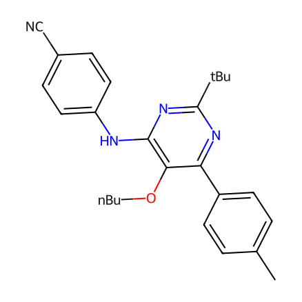 CCCCOc1c(Nc2ccc(C#N)cc2)nc(C(C)(C)C)nc1-c1ccc(C)cc1